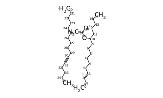 C=C/C=C/CCCCCCC(CCCCC)OC(C)=O.[CH2]CCCCCCCCCC#CCCCC